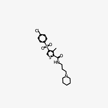 Cc1c(S(=O)(=O)c2ccc(Cl)cc2)csc1C(=O)NCCCN1CCCCC1